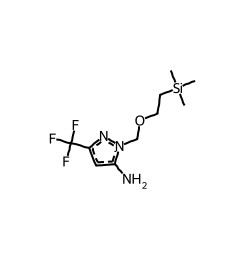 C[Si](C)(C)CCOCn1nc(C(F)(F)F)cc1N